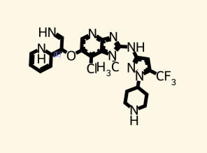 Cn1c(Nc2cc(C(F)(F)F)n(C3CCNCC3)n2)nc2ncc(O/C(C=N)=C3\C=CC=CN3)c(Cl)c21